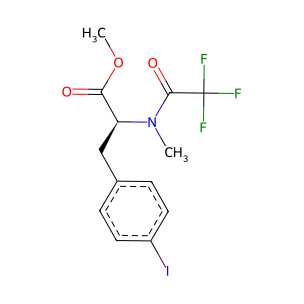 COC(=O)[C@H](Cc1ccc(I)cc1)N(C)C(=O)C(F)(F)F